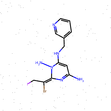 NC1=N/C(=C(\Br)CI)N(N)C(NCc2cccnc2)=C1